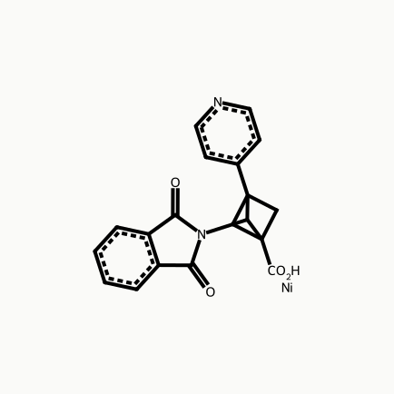 O=C1c2ccccc2C(=O)N1C1C2(C(=O)O)CC1(c1ccncc1)C2.[Ni]